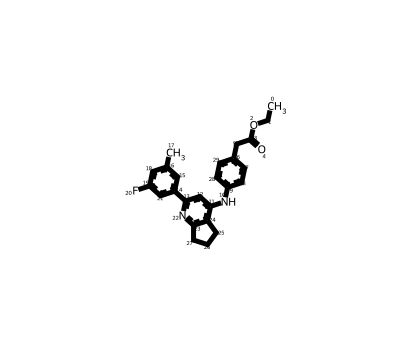 CCOC(=O)Cc1ccc(Nc2cc(-c3cc(C)cc(F)c3)nc3c2CCC3)cc1